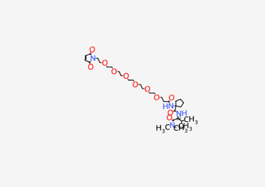 CC(C)[C@H](NC(=O)C1(NC(=O)CCOCCOCCOCCOCCOCCOCCN2C(=O)C=CC2=O)CCCC1)C(=O)N(C)C